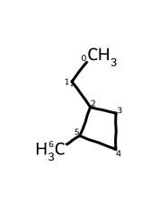 C[CH]C1CCC1C